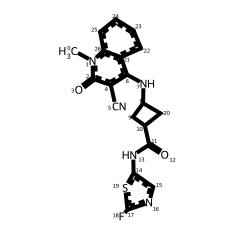 Cn1c(=O)c(C#N)c(NC2CC(C(=O)Nc3cnc(F)s3)C2)c2ccccc21